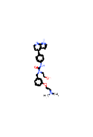 CN(C)CCOc1cccc(CN(CCO)C(=O)Nc2ccc(-c3ccnc4[nH]ccc34)cc2)c1